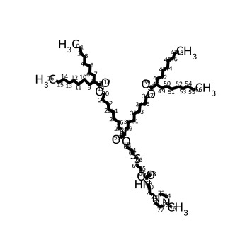 CCCCCCCCC(CCCCCCCC)C(=O)OCCCCCCCCN(CCCCCCCCOC(=O)C(CCCCCCCC)CCCCCCCC)C(=O)OCCSSCCOC(=O)NCCN1CCN(C)CC1